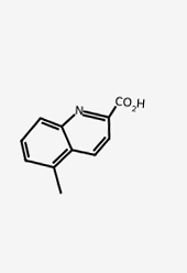 Cc1cccc2nc(C(=O)O)ccc12